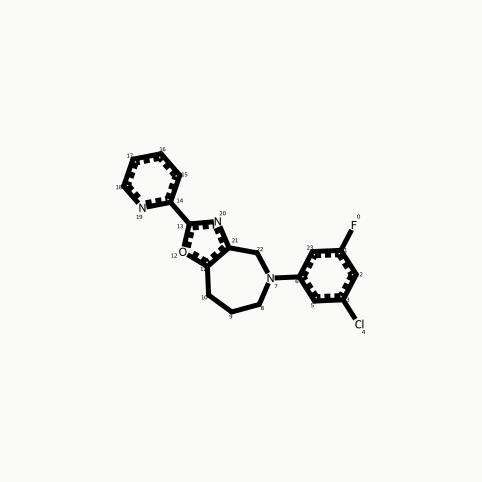 Fc1cc(Cl)cc(N2CCCc3oc(-c4ccccn4)nc3C2)c1